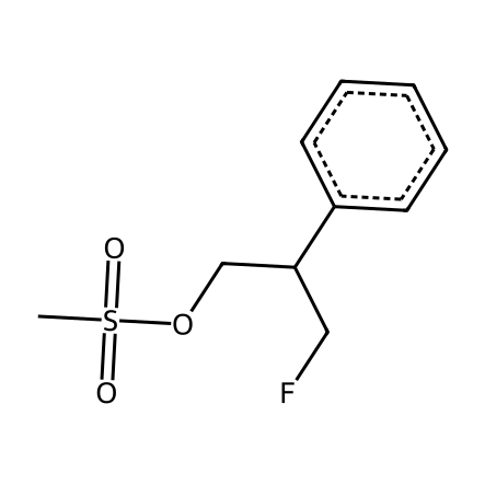 CS(=O)(=O)OCC(CF)c1ccccc1